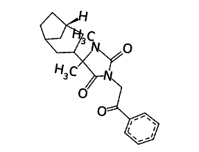 CN1C(=O)N(CC(=O)c2ccccc2)C(=O)C1(C)C1CC2CC[C@@H](C2)C1